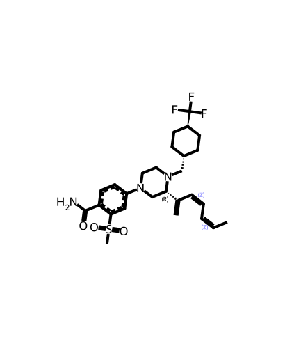 C=C(/C=C\C=C/C)[C@@H]1CN(c2ccc(C(N)=O)c(S(C)(=O)=O)c2)CCN1C[C@H]1CC[C@H](C(F)(F)F)CC1